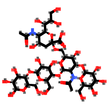 CC(=O)N[C@H]1[C@H](O[C@@H]2[C@H](O)[C@@H](O)[C@H](O[C@H]3[C@H](O)[C@@H](O)[C@H](O)O[C@@H]3CO)O[C@@H]2CO)O[C@H](CO[C@]2(C(=O)O)C[C@H](O)[C@@H](NC(C)=O)[C@H]([C@H](O)[C@H](O)CO)O2)[C@H](O)[C@@H]1O[C@@H]1O[C@H](CO)[C@H](O)[C@H](O)[C@H]1O